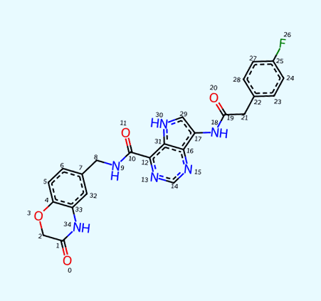 O=C1COc2ccc(CNC(=O)c3ncnc4c(NC(=O)Cc5ccc(F)cc5)c[nH]c34)cc2N1